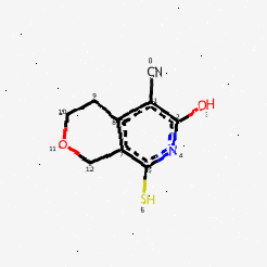 N#Cc1c(O)nc(S)c2c1CCOC2